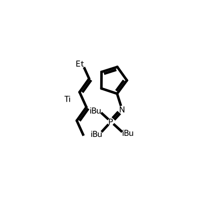 CC=CC=CCC.CCC(C)P(=NC1=CC=CC1)(C(C)CC)C(C)CC.[Ti]